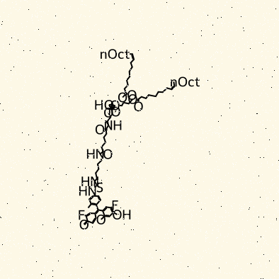 CCCCCCCC/C=C\CCCCCCCC(=O)OCC(COP(=O)(O)OCCNC(=O)CCCCC(=O)NCCCCCNC(=S)Nc1ccc(-c2c3cc(F)c(=O)cc-3oc3cc(O)c(F)cc23)c(C)c1)OC(=O)CCCCCCC/C=C\CCCCCCCC